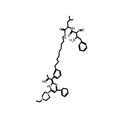 CCN1CCN(C2=CC(C3=CC=CCC3)=N/C(=C(/C(C)=N)c3cccc(CCCCCCCCCNC(=O)C(CC(C)C)NC(=O)C(N=O)C(N)Cc4ccccc4)c3)N2)CC1